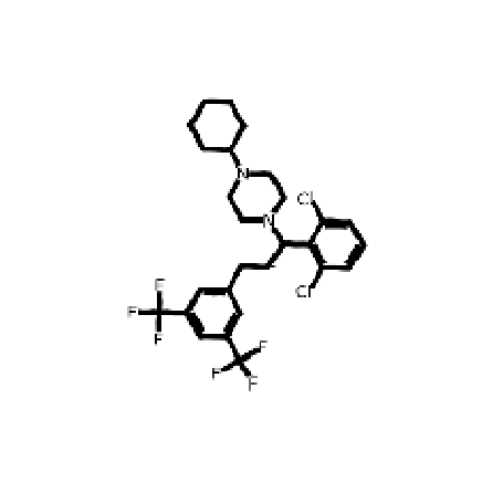 FC(F)(F)c1cc(C[CH]C(c2c(Cl)cccc2Cl)N2CCN(C3CCCCC3)CC2)cc(C(F)(F)F)c1